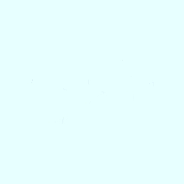 CCCCCCCOc1c(C)cc(C(C)(C)c2cc(C)c(C)c(C)c2)cc1C